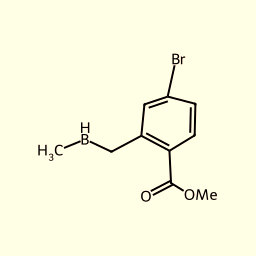 CBCc1cc(Br)ccc1C(=O)OC